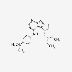 CC[C@H](C[C@H]1CCc2sc3ncnc(N[C@H]4CC[C@H](N(C)C)CC4)c3c21)OC